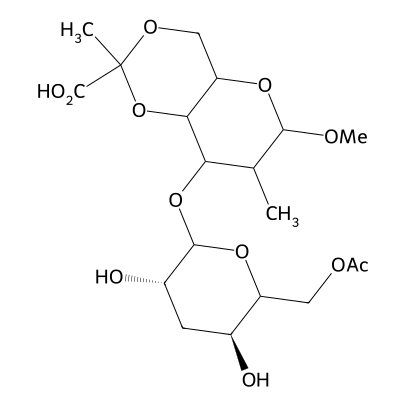 COC1OC2COC(C)(C(=O)O)OC2C(OC2OC(COC(C)=O)[C@@H](O)C[C@@H]2O)C1C